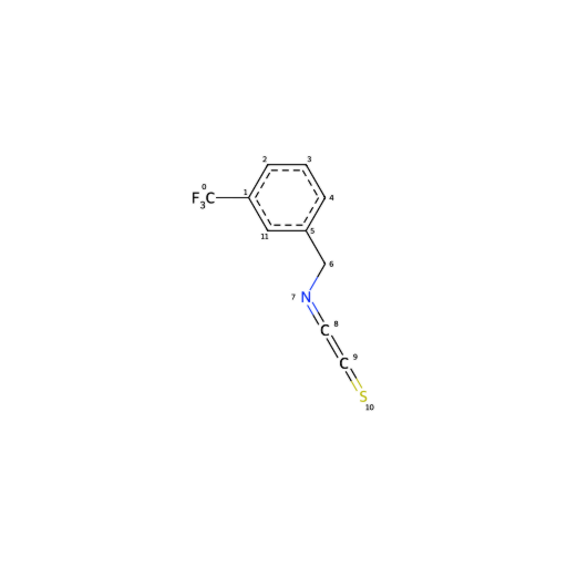 FC(F)(F)c1cccc(CN=C=C=S)c1